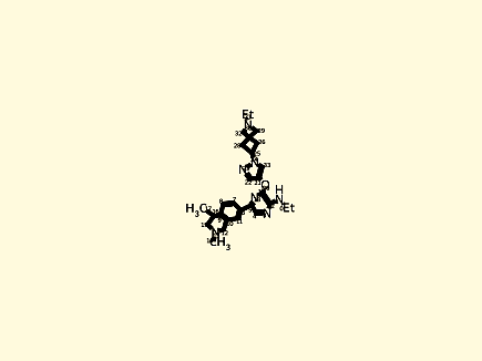 CCNc1ncc(-c2ccc3c(c2)CN(C)CC3C)nc1Oc1cnn(C2CC3(C2)CN(CC)C3)c1